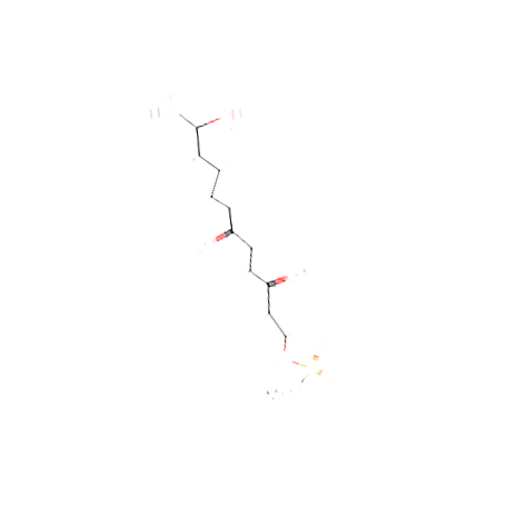 COS(=O)(=O)OCCC(=O)CCC(=O)CCCCC(C)O